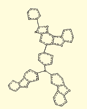 c1ccc(-c2nc3cc(-c4ccc(N(c5ccc6c(c5)oc5ccccc56)c5ccc6oc7ccccc7c6c5)cc4)c4oc5ccccc5c4c3o2)cc1